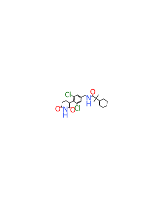 CC(C)(C(=O)NCc1cc(Cl)c(C2CCC(=O)NC2=O)c(Cl)c1)C1CCCCC1